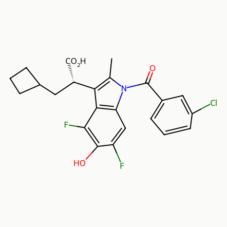 Cc1c([C@H](CC2CCC2)C(=O)O)c2c(F)c(O)c(F)cc2n1C(=O)c1cccc(Cl)c1